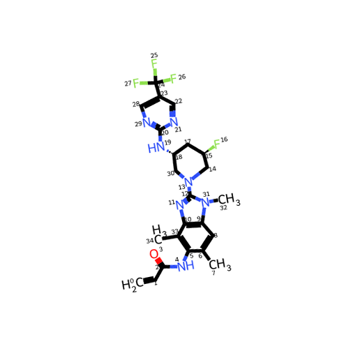 C=CC(=O)Nc1c(C)cc2c(nc(N3C[C@H](F)C[C@@H](Nc4ncc(C(F)(F)F)cn4)C3)n2C)c1C